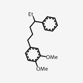 [CH2]CC(CCCc1ccc(OC)c(OC)c1)c1ccccc1